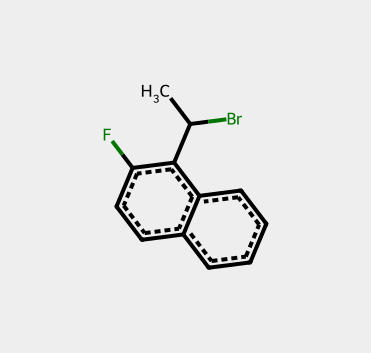 CC(Br)c1c(F)ccc2ccccc12